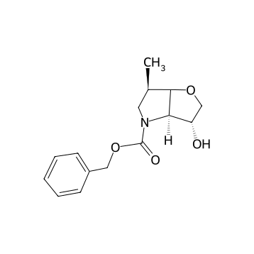 C[C@@H]1CN(C(=O)OCc2ccccc2)[C@H]2C1OC[C@@H]2O